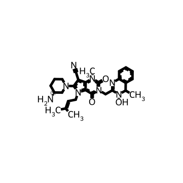 CC(C)=CCn1c(N2CCC[C@H](N)C2)c(C#N)c2c1c(=O)n(CC1=Nc3ccccc3C(C)N1O)c(=O)n2C